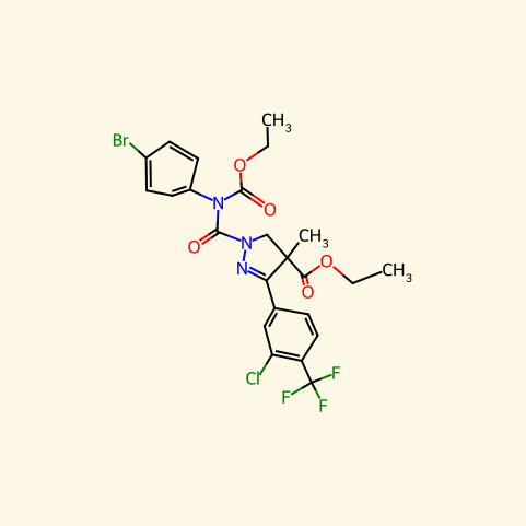 CCOC(=O)N(C(=O)N1CC(C)(C(=O)OCC)C(c2ccc(C(F)(F)F)c(Cl)c2)=N1)c1ccc(Br)cc1